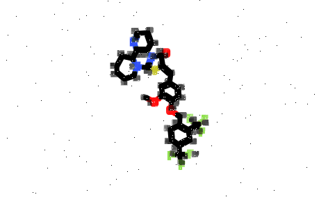 COc1cc(C=C2SC(N3CCCCCC3c3ccccn3)=NC2=O)ccc1OCc1ccc(C(F)(F)F)cc1C(F)(F)F